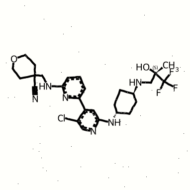 C[C@](O)(CN[C@H]1CC[C@H](Nc2cc(-c3cccc(NCC4(C#N)CCOCC4)n3)c(Cl)cn2)CC1)C(F)(F)F